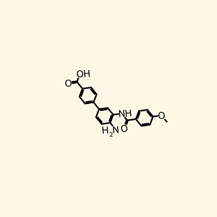 COc1ccc(C(=O)Nc2cc(-c3ccc(C(=O)O)cc3)ccc2N)cc1